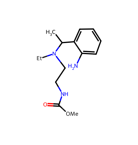 CCN(CCNC(=O)OC)C(C)c1ccccc1N